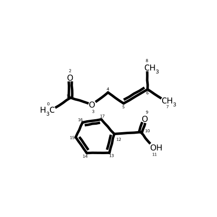 CC(=O)OCC=C(C)C.O=C(O)c1ccccc1